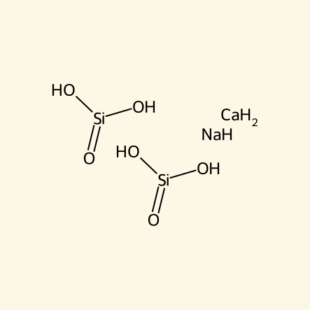 O=[Si](O)O.O=[Si](O)O.[CaH2].[NaH]